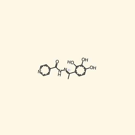 C/C(=N\NC(=O)c1ccncc1)c1ccc(O)c(O)c1O